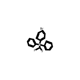 FC(F)[P+](c1ccccc1)(c1ccccc1)c1ccccc1.[Br-]